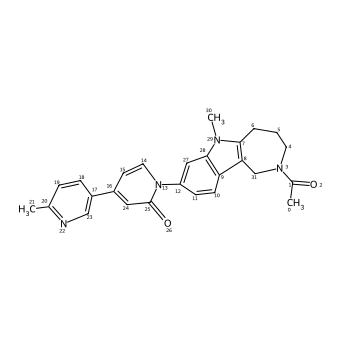 CC(=O)N1CCCc2c(c3ccc(-n4ccc(-c5ccc(C)nc5)cc4=O)cc3n2C)C1